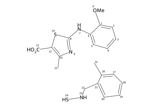 COc1ccccc1Nc1nc(C)c(C(=O)O)s1.Cc1ccccc1CNS